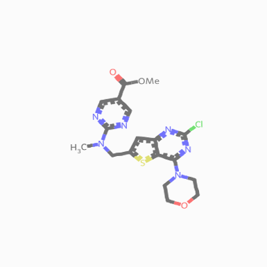 COC(=O)c1cnc(N(C)Cc2cc3nc(Cl)nc(N4CCOCC4)c3s2)nc1